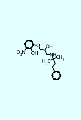 CC(C)(CCc1ccccc1)NCC(O)COc1cccc([N+](=O)[O-])c1O